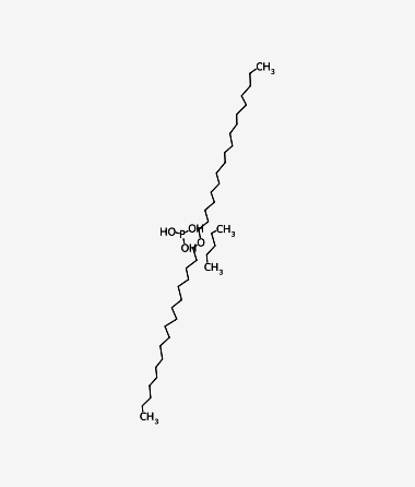 CCCCC.CCCCCCCCCCCCCCCCCCOCCCCCCCCCCCCCCCCCC.OP(O)O